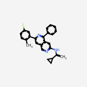 C=C(Nc1cc2c(-c3ccccc3)nc(-c3cc(F)ccc3C)cc2cn1)C1CC1